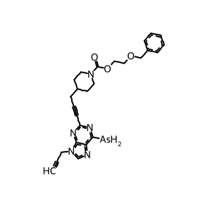 C#CCn1cnc2c([AsH2])nc(C#CCC3CCN(C(=O)OCCOCc4ccccc4)CC3)nc21